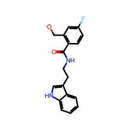 [O]Cc1cc(F)ccc1C(=O)NCCc1c[nH]c2ccccc12